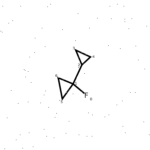 FC1(C2CC2)CC1